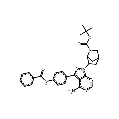 CC(C)(C)OC(=O)N1CC2CC1C(n1nc(-c3ccc(NC(=O)c4ccccc4)cc3)c3c(N)ncnc31)C2